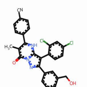 Cc1c(-c2ccc(C#N)cc2)[nH]c2c(-c3ccc(Cl)cc3Cl)c(-c3cccc(CO)c3)nn2c1=O